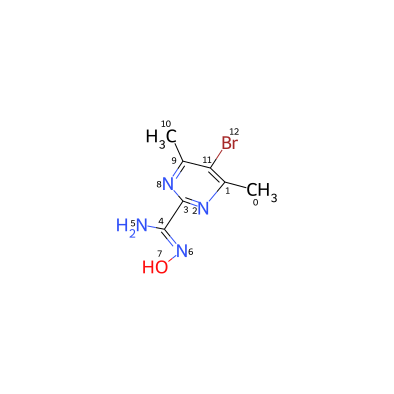 Cc1nc(C(N)=NO)nc(C)c1Br